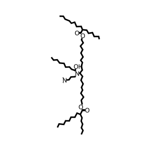 CCCCCCCCC(CCCCCC)C(=O)OCCCCCCCCCCC(CCCCCCCCCOC(=O)C(CCCCCC)CCCCCCCC)N(CCCN(C)C)C(O)CCCCCCCC